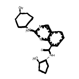 O=C(N[C@@H]1CCC[C@H]1O)c1cccc2cnc(N[C@H]3CC[C@H](O)CC3)nc12